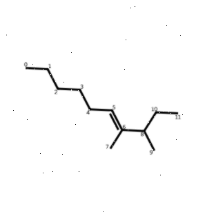 CCCCC/C=C(\C)C(C)CC